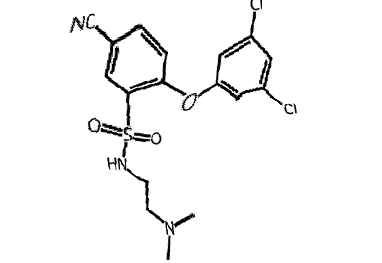 CN(C)CCNS(=O)(=O)c1cc(C#N)ccc1Oc1cc(Cl)cc(Cl)c1